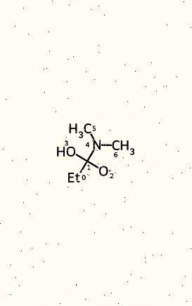 CCC([O])(O)N(C)C